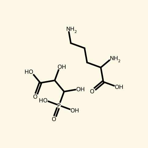 NCCCC(N)C(=O)O.O=C(O)C(O)C(O)P(=O)(O)O